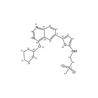 CS(=O)(=O)CCNc1ccc(-c2ccc3ncnc(OC4CCCCO4)c3c2)o1